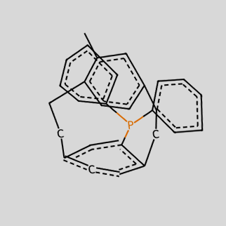 Cc1cc2ccc1CCc1ccc(c(P(c3ccccc3)c3ccccc3)c1)CC2